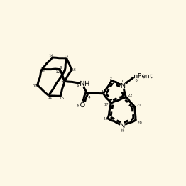 CCCCCn1cc(C(=O)NC23CC4CC(CC(C4)C2)C3)c2cnccc21